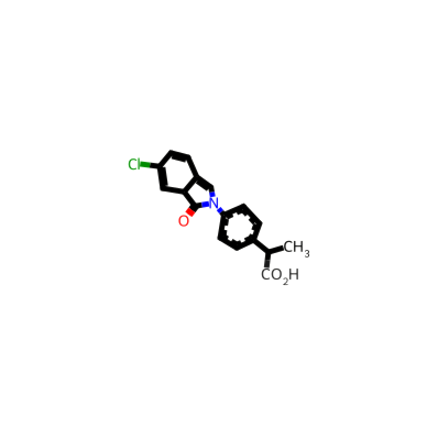 CC(C(=O)O)c1ccc(N2C=C3C=CC(Cl)=CC3C2=O)cc1